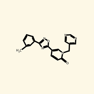 Cc1cccc(-c2noc(-c3ccc(=O)n(Cc4cncnc4)c3)n2)c1